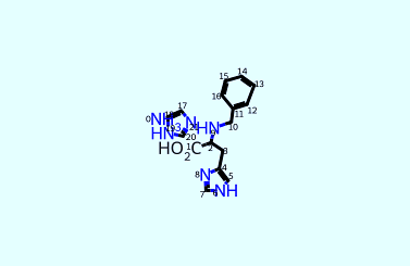 N.O=C(O)C(Cc1c[nH]cn1)NCc1ccccc1.c1c[nH]cn1